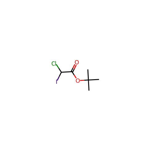 CC(C)(C)OC(=O)C(Cl)I